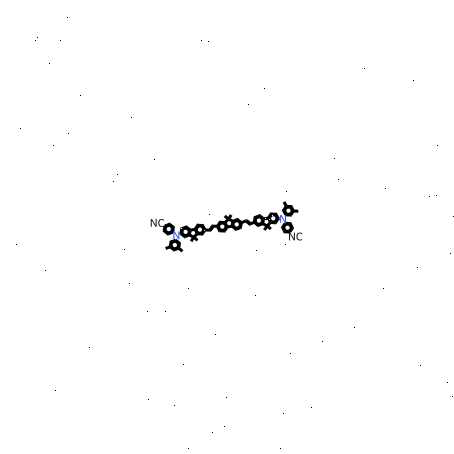 [C-]#[N+]c1ccc(N(c2cc(C)cc(C)c2)c2ccc3c(c2)C(C)(C)c2cc(/C=C/c4ccc5c(c4)C(C)(C)c4cc(/C=C/c6ccc7c(c6)C(C)(C)c6cc(N(c8ccc(C#N)cc8)c8cc(C)cc(C)c8)ccc6-7)ccc4-5)ccc2-3)cc1